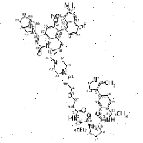 Cc1ncsc1-c1ccc([C@H](C)NC(=O)[C@@H]2CCCN2C(=O)[C@@H](NC(=O)CCOCCCN2CCN(C[C@H]3CSc4c(-c5ccc(F)c6sc(N)c(C#N)c56)c(Cl)cc5c(N6CC7CCC(C6)N7)nc(=O)n3c45)CC2)C(C)(C)C)cc1